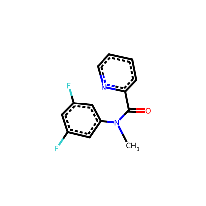 CN(C(=O)c1ccccn1)c1cc(F)cc(F)c1